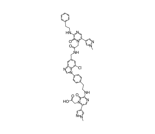 Cn1cc(-c2cnc(NCCc3ccc(-n4cnc5cc(CNC(=O)Cn6c(-c7cnn(C)c7)cnc(NCCc7ccccc7)c6=O)cc(Cl)c54)cc3)c(=O)n2CC(=O)O)cn1